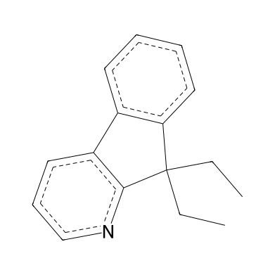 CCC1(CC)c2ccccc2-c2cccnc21